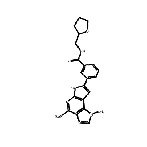 CNc1nc2[nH]c(-c3cccc(C(=O)NCC4CCCO4)c3)cc2c2c1ncn2C